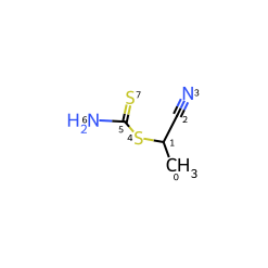 CC(C#N)SC(N)=S